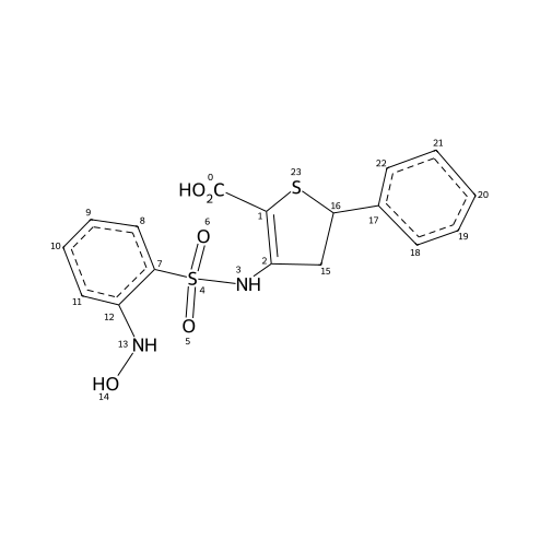 O=C(O)C1=C(NS(=O)(=O)c2ccccc2NO)CC(c2ccccc2)S1